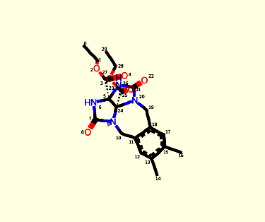 CCOC(=O)[C@]12NC(=O)N3Cc4cc(C)c(C)cc4CN(C(=O)N1)[C@@]32C(=O)OCC